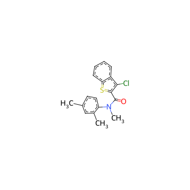 Cc1ccc(N(C)C(=O)c2sc3ccccc3c2Cl)c(C)c1